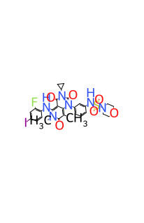 Cc1c(=O)n(C)c(Nc2ccc(I)cc2F)c2c(=O)n(C3CC3)c(=O)n(-c3cccc(NS(=O)(=O)N4CCOCC4)c3)c12